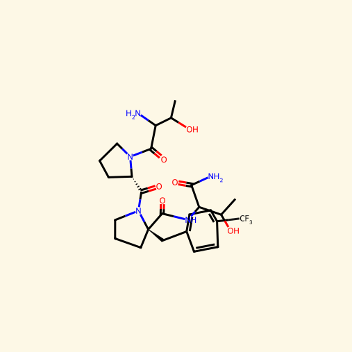 CC(O)C(N)C(=O)N1CCC[C@H]1C(=O)N1CCC[C@@]1(Cc1ccc(C(F)(F)F)cc1)C(=O)NC(C(N)=O)C(C)O